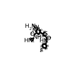 Nc1nc2c(C(=O)NC3CNC3)cc(-c3csc(C(=O)NCc4ccc(F)cc4)c3)cn2n1